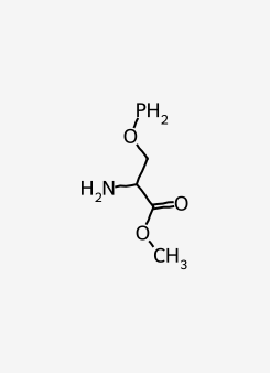 COC(=O)C(N)COP